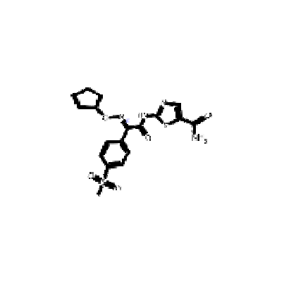 CS(=O)(=O)c1ccc(/C(=N\OC2CCCC2)C(=O)Nc2ncc(C(N)=O)s2)cc1